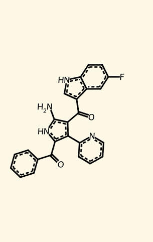 Nc1[nH]c(C(=O)c2ccccc2)c(-c2ccccn2)c1C(=O)c1c[nH]c2ccc(F)cc12